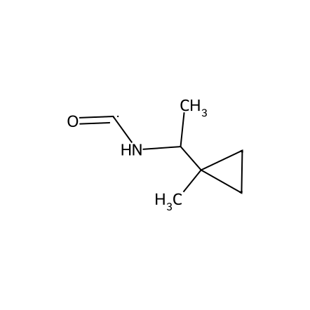 CC(N[C]=O)C1(C)CC1